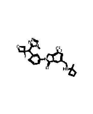 Cn1cnnc1C(c1cccc(N2Cc3c(cc(CNC4(C)CCC4)cc3C(F)(F)F)C2=O)c1)C1(F)COC1